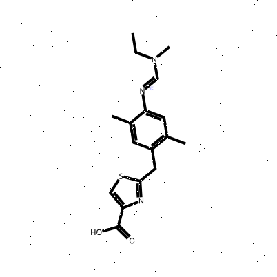 CCN(C)/C=N/c1cc(C)c(Cc2nc(C(=O)O)cs2)cc1C